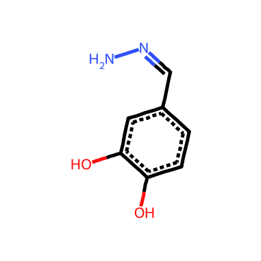 N/N=C\c1ccc(O)c(O)c1